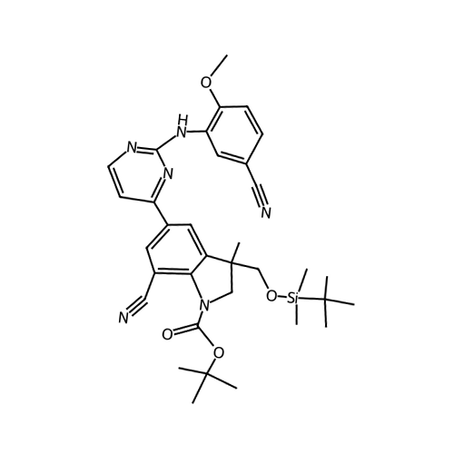 COc1ccc(C#N)cc1Nc1nccc(-c2cc(C#N)c3c(c2)C(C)(CO[Si](C)(C)C(C)(C)C)CN3C(=O)OC(C)(C)C)n1